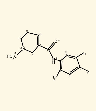 Cc1cc(Br)c(NC(=O)C2=CCCN(C(=O)O)C2)nc1C